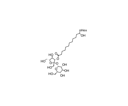 CCCCCCC(O)CCCCCCCCCCC(=O)O[C@H]1[C@H](O)[C@@H](CO)O[C@@]1(CO)O[C@H]1O[C@H](CO)[C@@H](O)[C@H](O)[C@H]1O